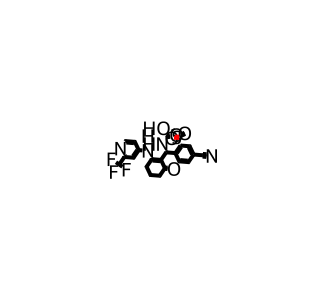 CS(=O)(=O)c1cc(C#N)ccc1C(NC(=O)O)C1=C(Nc2ccnc(C(F)(F)F)c2)CCCC1=O